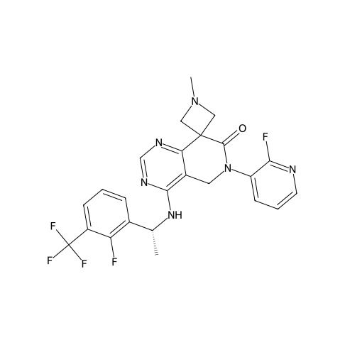 C[C@@H](Nc1ncnc2c1CN(c1cccnc1F)C(=O)C21CN(C)C1)c1cccc(C(F)(F)F)c1F